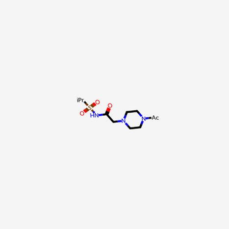 CC(=O)N1CCN(CC(=O)NS(=O)(=O)C(C)C)CC1